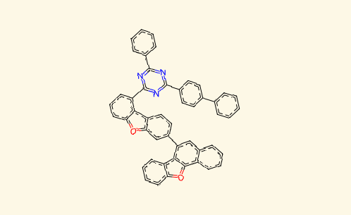 c1ccc(-c2ccc(-c3nc(-c4ccccc4)nc(-c4cccc5oc6cc(-c7cc8ccccc8c8oc9ccccc9c78)ccc6c45)n3)cc2)cc1